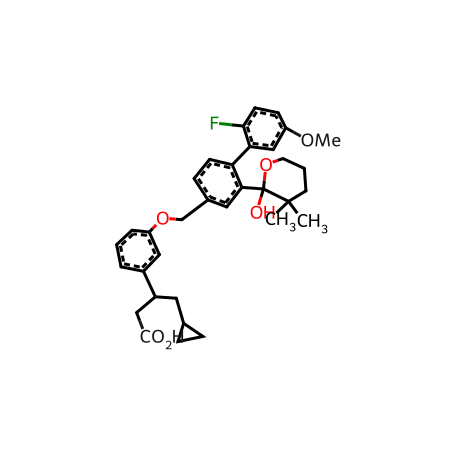 COc1ccc(F)c(-c2ccc(COc3cccc(C(CC(=O)O)CC4CC4)c3)cc2C2(O)OCCCC2(C)C)c1